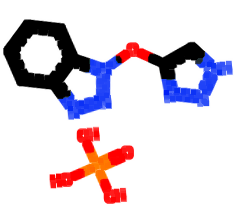 O=P(O)(O)O.c1ccc2c(c1)nnn2Oc1c[nH]nn1